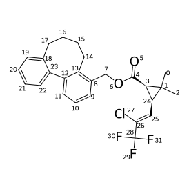 CC1(C)[C@H](C(=O)OCc2cccc3c2CCCCc2ccccc2-3)[C@@H]1C=C(Cl)C(F)(F)F